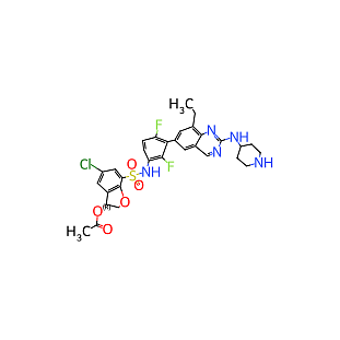 CCc1cc(-c2c(F)ccc(NS(=O)(=O)c3cc(Cl)cc4c3OC[C@@H]4OC(C)=O)c2F)cc2cnc(NC3CCNCC3)nc12